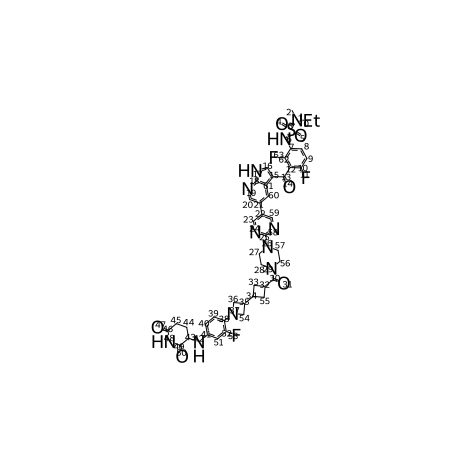 CCN(C)S(=O)(=O)Nc1ccc(F)c(C(=O)c2c[nH]c3ncc(-c4cnc(N5CCN(C(=O)C6CC(C7CN(c8ccc(NC9CCC(=O)NC9=O)cc8F)C7)C6)CC5)nc4)cc23)c1F